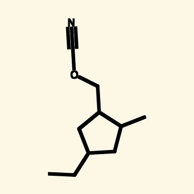 CCC1CC(C)C(COC#N)C1